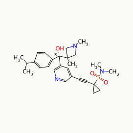 CC(C)c1ccc([C@](O)(c2cncc(C#CC3(S(=O)(=O)N(C)C)CC3)c2)C2(C)CN(C)C2)cc1